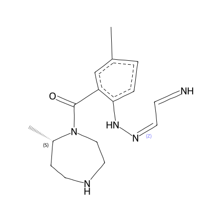 Cc1ccc(N/N=C\C=N)c(C(=O)N2CCNCC[C@@H]2C)c1